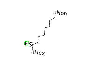 CCCCCCCCCCCCCCCC[SiH](Cl)CCCCCC